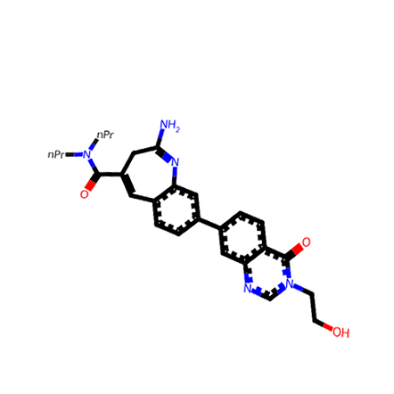 CCCN(CCC)C(=O)C1=Cc2ccc(-c3ccc4c(=O)n(CCO)cnc4c3)cc2N=C(N)C1